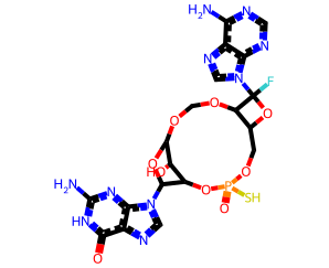 Nc1nc2c(ncn2C2OC3OCOC4C(COP(=O)(S)OC2C3O)OC4(F)n2cnc3c(N)ncnc32)c(=O)[nH]1